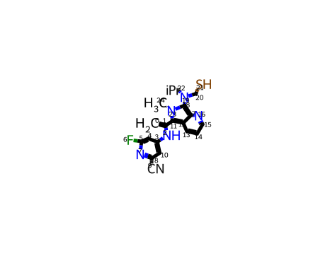 C=C(Nc1cc(F)nc(C#N)c1)c1c2cccnc2c(N(CS)C(C)C)n1C